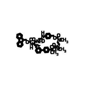 CC(C)C(NC(=O)OCC1c2ccccc2-c2ccccc21)C(=O)NCC(=O)Nc1ccc(COC(=O)N(C)CCN(C)C(=O)OC(C)(C)c2ccc(-c3ccccc3)cc2)cc1